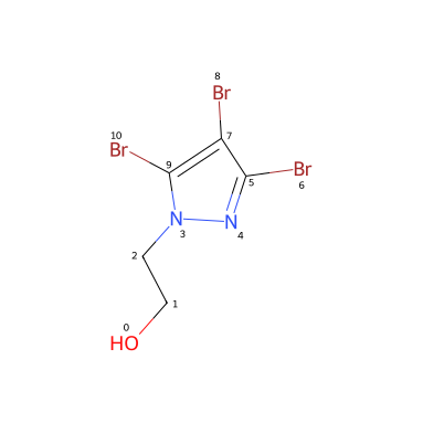 OCCn1nc(Br)c(Br)c1Br